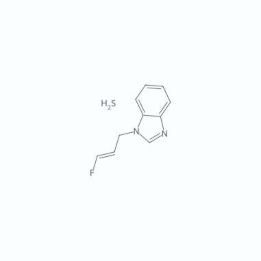 FC=CCn1cnc2ccccc21.S